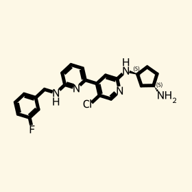 N[C@H]1CC[C@H](Nc2cc(-c3cccc(NCc4cccc(F)c4)n3)c(Cl)cn2)C1